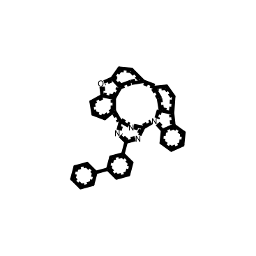 c1ccc(-c2cccc(-c3nc4nc(n3)n3c5ccccc5c5ccc(cc53)c3ccc5oc6cccc4c6c5c3)c2)cc1